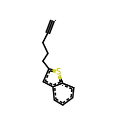 [C]#CCCCc1cc2ccccc2s1